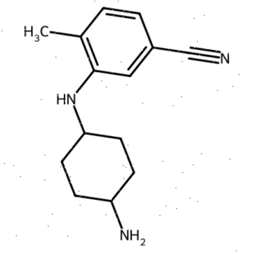 Cc1ccc(C#N)cc1NC1CCC(N)CC1